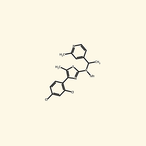 CCCN(c1nc(-c2ccc(Cl)cc2Cl)c(C)s1)C(C)c1ccnc(C)c1